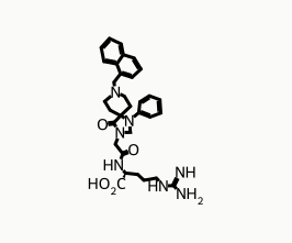 N=C(N)NCCC[C@H](NC(=O)CN1CN(c2ccccc2)C2(CCN(Cc3cccc4ccccc34)CC2)C1=O)C(=O)O